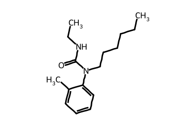 CCCCCCN(C(=O)NCC)c1ccccc1C